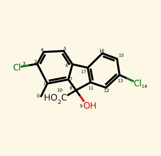 Cc1c(Cl)ccc2c1C(O)(C(=O)O)c1cc(Cl)ccc1-2